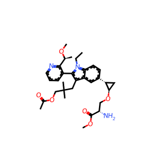 CCn1c(-c2cccnc2[C@H](C)OC)c(CC(C)(C)COC(C)=O)c2cc([C@@H]3C[C@H]3OC[C@H](N)C(=O)OC)ccc21